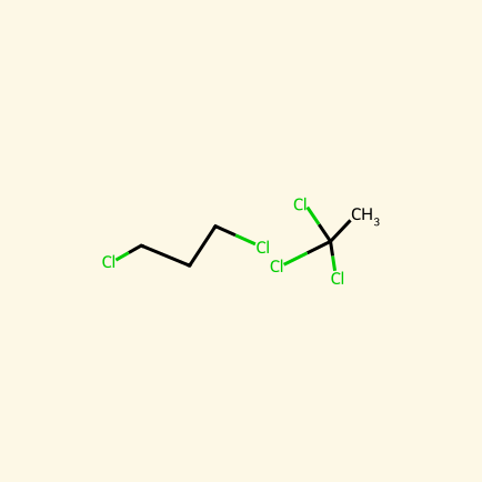 CC(Cl)(Cl)Cl.ClCCCCl